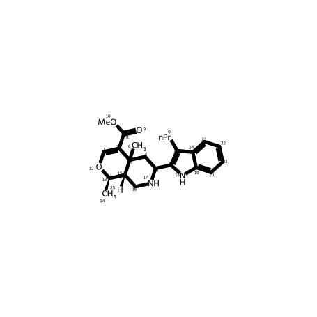 CCCc1c(C2CC3(C)C(C(=O)OC)=CO[C@H](C)[C@H]3CN2)[nH]c2ccccc12